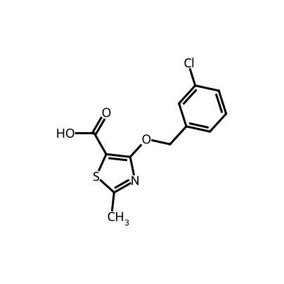 Cc1nc(OCc2cccc(Cl)c2)c(C(=O)O)s1